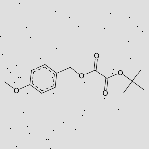 COc1ccc(COC(=O)C(=O)OC(C)(C)C)cc1